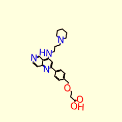 O=C(O)CCOCc1ccc(-c2cc(NCCCN3CCCCC3)c3cnccc3n2)cc1